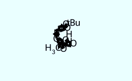 Cn1c(=O)n(C2CCC(=O)NC2=O)c2ccc(OC3CN(CC4CCN(C(=O)OC(C)(C)C)CC4)C3)cc21